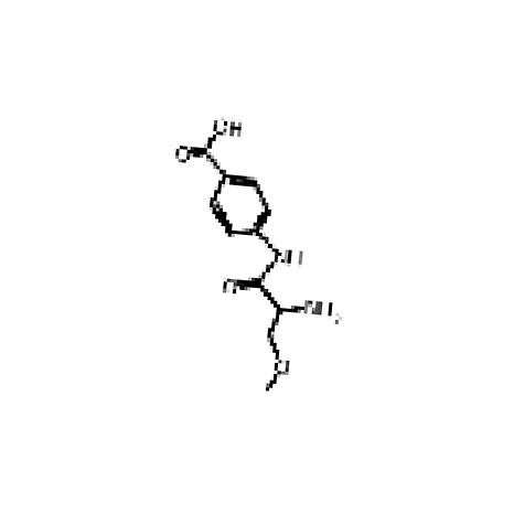 COCC(N)C(=O)Nc1ccc(C(=O)O)cc1